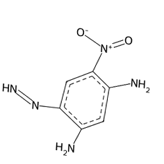 N=Nc1cc([N+](=O)[O-])c(N)cc1N